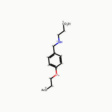 CCOC(=O)CCNCc1ccc(OCCOC(C)=O)cc1